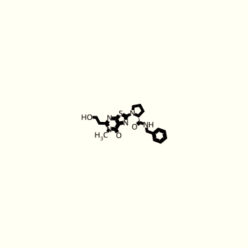 Cn1c(CCO)nc2sc(N3CCC[C@@H]3C(=O)NCc3ccccc3)nc2c1=O